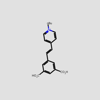 CCCC[n+]1ccc(C=Cc2cc(C(=O)O)cc(C(=O)O)c2)cc1